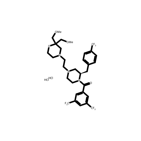 COCC1(COC)CN(CCN2CCN(C(=O)c3cc(C(F)(F)F)cc(C(F)(F)F)c3)[C@H](Cc3ccc(C(F)(F)F)cc3)C2)CCO1.Cl.Cl